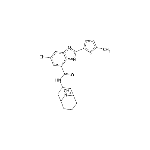 Cc1ccc(-c2nc3c(C(=O)NC4CC5CCCC(C4)N5C)cc(Cl)cc3o2)s1